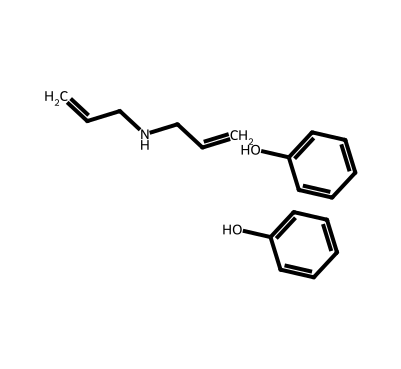 C=CCNCC=C.Oc1ccccc1.Oc1ccccc1